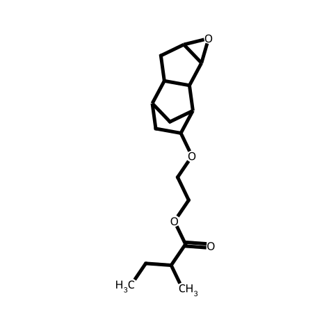 CCC(C)C(=O)OCCOC1CC2CC1C1C2CC2OC21